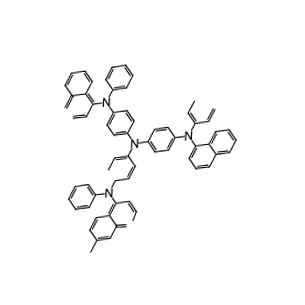 C=C/C(=C\C)N(c1ccc(N(C(/C=C\CN(C(/C=C\C)=c2\ccc(C)cc2=C)c2ccccc2)=C/C)c2ccc(N(/C(C=C)=c3\ccccc3=C)c3ccccc3)cc2)cc1)c1cccc2ccccc12